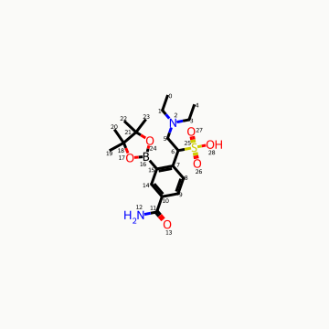 CCN(CC)CC(c1ccc(C(N)=O)cc1B1OC(C)(C)C(C)(C)O1)S(=O)(=O)O